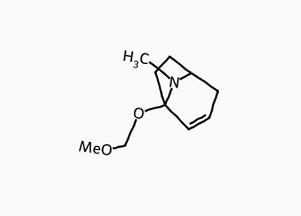 COCOC12C=CCC(CC1)N2C